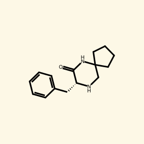 O=C1NC2(CCCC2)CN[C@@H]1Cc1ccccc1